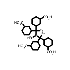 CCCP(C(CC)(C1CCCC(C(=O)O)C1)C1CCCC(C(=O)O)C1)C(CC)(C1CCCC(C(=O)O)C1)C1CCCC(C(=O)O)C1